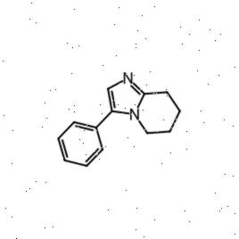 c1ccc(-c2cnc3n2CCCC3)cc1